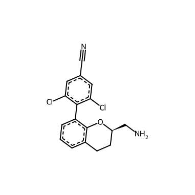 N#Cc1cc(Cl)c(-c2cccc3c2O[C@@H](CN)CC3)c(Cl)c1